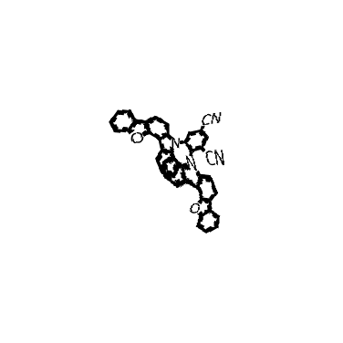 N#Cc1cc(C#N)c(-n2c3ccccc3c3c4oc5ccccc5c4ccc32)c(-n2c3ccccc3c3c4oc5ccccc5c4ccc32)c1